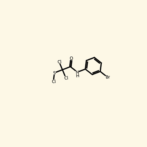 O=C(Nc1cccc(Br)c1)C(Cl)(Cl)SCl